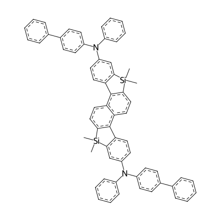 C[Si]1(C)c2cc(N(c3ccccc3)c3ccc(-c4ccccc4)cc3)ccc2-c2c1ccc1c3c(ccc21)[Si](C)(C)c1cc(N(c2ccccc2)c2ccc(-c4ccccc4)cc2)ccc1-3